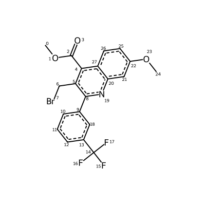 COC(=O)c1c(CBr)c(-c2cccc(C(F)(F)F)c2)nc2cc(OC)ccc12